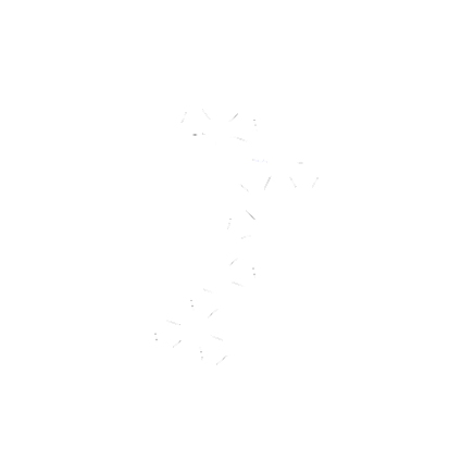 CC1=C(c2ccccc2)N=C(c2cccc3c2sc2ccccc23)CC=C1c1ccc2c(c1)oc1ccc(-c3ccc4c5ccccc5c5ccccc5c4c3)cc12